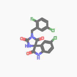 O=C1NC2(C(=O)Nc3ccc(Cl)cc32)C(=O)N1Cc1cc(Cl)ccc1F